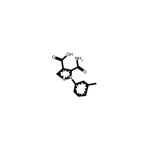 Cc1cccc(-n2ncc(C(=O)O)c2C(N)=O)c1